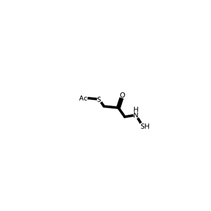 CC(=O)SCC(=O)CNS